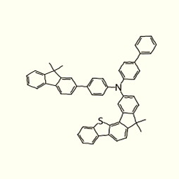 CC1(C)c2ccccc2-c2ccc(-c3ccc(N(c4ccc(-c5ccccc5)cc4)c4ccc5c(c4)-c4c(ccc6c4sc4ccccc46)C5(C)C)cc3)cc21